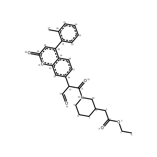 CCOC(=O)CC1CCCN(C(=O)C(C=O)c2ccc3c(-c4ccccc4C)cc(=O)oc3c2)C1